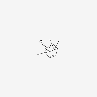 CC12C=CC(C=C1)C(C)(C)C2=O